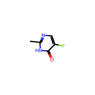 Cc1ncc(F)c(=O)[nH]1